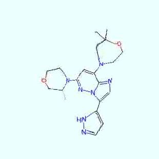 C[C@@H]1COCCN1c1cc(N2CCOC(C)(C)C2)c2ncc(-c3ccn[nH]3)n2n1